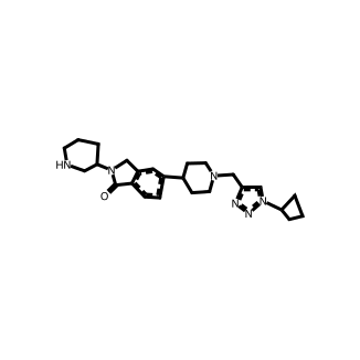 O=C1c2ccc(C3CCN(Cc4cn(C5CCC5)nn4)CC3)cc2CN1C1CCCNC1